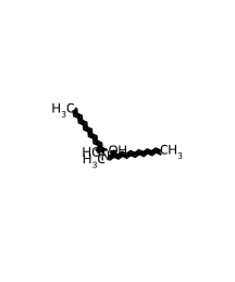 CCCCCCCCCCCCC(O)CN(C)CC(O)CCCCCCCCCCCC